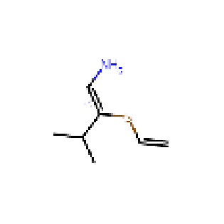 C=CS/C(=C\N)C(C)C